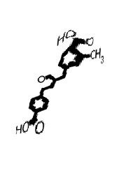 Cc1cc(CC(C=O)CCc2ccc(C(=O)O)cc2)ccc1C(=O)O